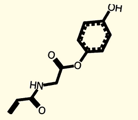 C=CC(=O)NCC(=O)Oc1ccc(O)cc1